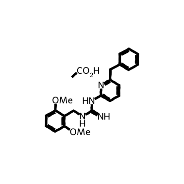 CC(=O)O.COc1cccc(OC)c1CNC(=N)Nc1cccc(Cc2ccccc2)n1